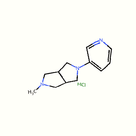 CN1CC2CN(c3cccnc3)CC2C1.Cl